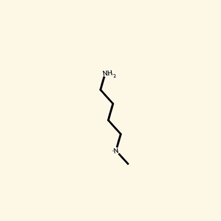 C[N]CCCCN